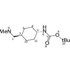 CNC[C@H]1CC[C@H](NC(=O)OC(C)(C)C)CC1